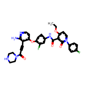 CCOc1ccn(-c2ccc(F)cc2)c(=O)c1C(=O)Nc1ccc(Oc2ccnc(N)c2C#CC(=O)N2CCNCC2)c(F)c1